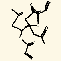 C=CC(=O)OC(CC(C)=O)C(CC(C)=O)(CC(C)=O)OC(=O)C=C